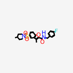 Cc1c(C(=O)NCc2ccc(F)cc2)oc2ccc(S(=O)(=O)N3CCC(C)CC3)cc12